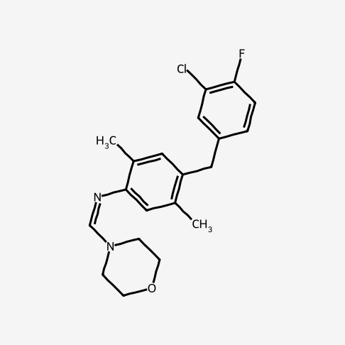 Cc1cc(/N=C\N2CCOCC2)c(C)cc1Cc1ccc(F)c(Cl)c1